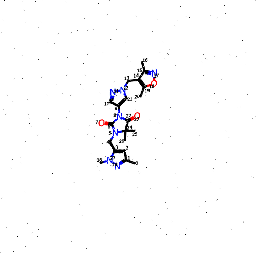 Cc1cc(CN2C(=O)N(c3cnn(Cc4c(C)noc4C)c3)C(=O)C2(C)C)n(C)n1